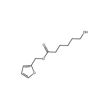 O=C(CCCCCO)OCc1ccco1